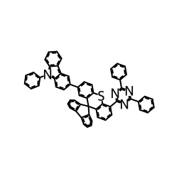 c1ccc(-c2nc(-c3ccccc3)nc(-c3cccc4c3Sc3ccc(-c5ccc6c(c5)c5ccccc5n6-c5ccccc5)cc3C43c4ccccc4-c4ccccc43)n2)cc1